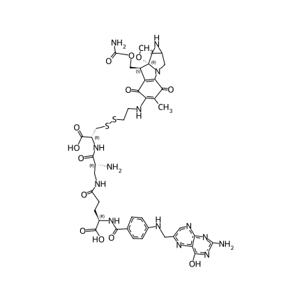 CO[C@]12C3NC3CN1C1=C(C(=O)C(NCCSSC[C@H](NC(=O)[C@H](N)CNC(=O)CC[C@@H](NC(=O)c3ccc(NCc4cnc5nc(N)nc(O)c5n4)cc3)C(=O)O)C(=O)O)=C(C)C1=O)[C@H]2COC(N)=O